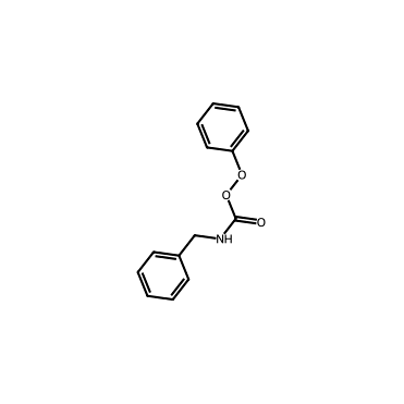 O=C(NCc1ccccc1)OOc1ccccc1